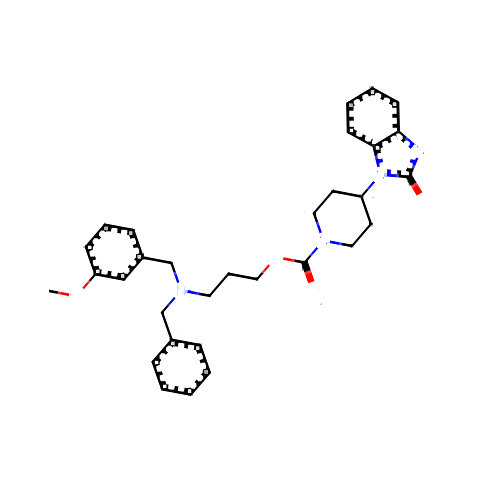 COc1cccc(CN(CCCOC(=O)N2CCC(n3c(=O)[nH]c4ccccc43)CC2)Cc2ccccc2)c1